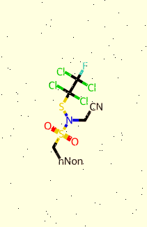 CCCCCCCCCCS(=O)(=O)N(CC#N)SC(Cl)(Cl)C(F)(Cl)Cl